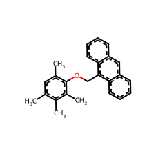 Cc1cc(C)c(OCc2c3ccccc3cc3ccccc23)c(C)c1C